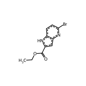 CCOC(=O)c1cc2nc(Br)ccc2[nH]1